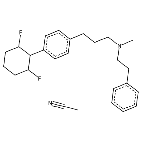 CC#N.CN(CCCc1ccc(C2C(F)CCCC2F)cc1)CCc1ccccc1